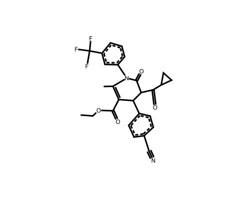 CCOC(=O)C1=C(C)N(c2cccc(C(F)(F)F)c2)C(=O)C(C(=O)C2CC2)C1c1ccc(C#N)cc1